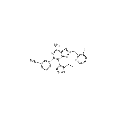 CCn1nccc1-c1c(-c2cccc(C#N)c2)nc(N)c2nn(Cc3ncccc3F)nc12